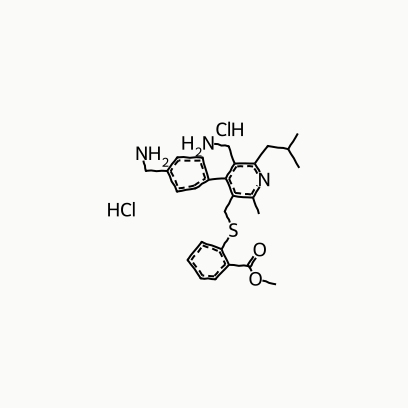 COC(=O)c1ccccc1SCc1c(C)nc(CC(C)C)c(CN)c1-c1ccc(CN)cc1.Cl.Cl